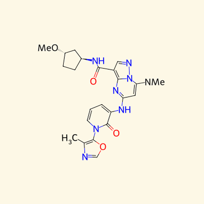 CNc1cc(Nc2cccn(-c3ocnc3C)c2=O)nc2c(C(=O)N[C@H]3CC[C@H](OC)C3)cnn12